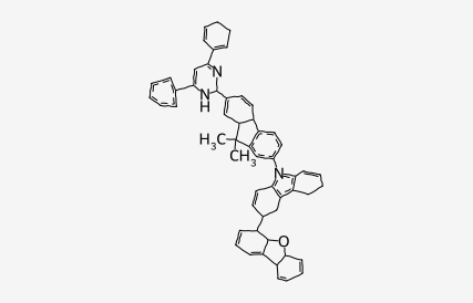 CC1(C)c2cc(-n3c4c(c5c3C=CC(C3C=CC=C6C7C=CC=CC7OC63)C5)CCC=C4)ccc2C2C=CC(C3N=C(C4=CCCC=C4)C=C(c4ccccc4)N3)=CC21